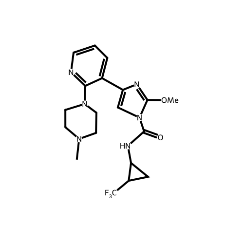 COc1nc(-c2cccnc2N2CCN(C)CC2)cn1C(=O)NC1CC1C(F)(F)F